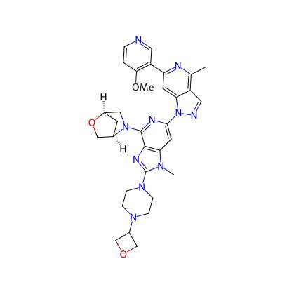 COc1ccncc1-c1cc2c(cnn2-c2cc3c(nc(N4CCN(C5COC5)CC4)n3C)c(N3C[C@H]4C[C@@H]3CO4)n2)c(C)n1